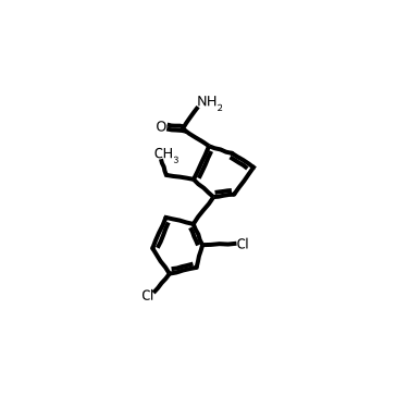 CCc1c(C(N)=O)cccc1-c1ccc(Cl)cc1Cl